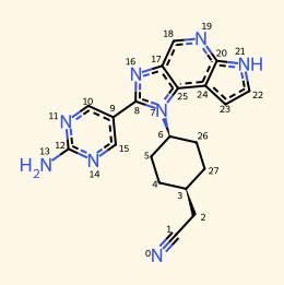 N#CC[C@H]1CC[C@@H](n2c(-c3cnc(N)nc3)nc3cnc4[nH]ccc4c32)CC1